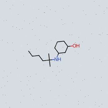 CCCCC(C)(C)NC1CCCC(O)C1